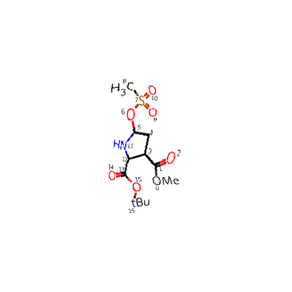 COC(=O)C1CC(OS(C)(=O)=O)NC1C(=O)OC(C)(C)C